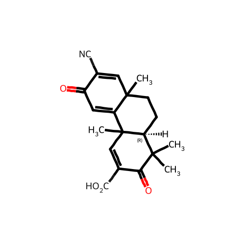 CC12C=C(C#N)C(=O)C=C1C1(C)C=C(C(=O)O)C(=O)C(C)(C)[C@@H]1CC2